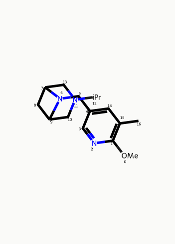 COc1ncc(CN2C3CC2CN(C(C)C)C3)cc1C